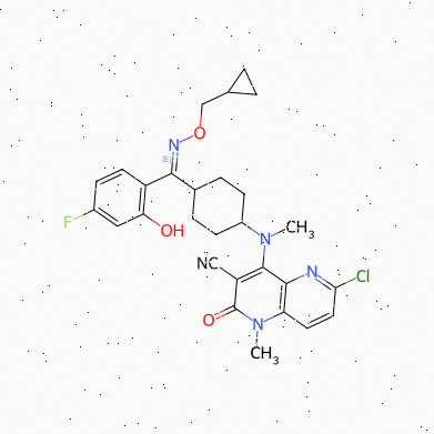 CN(c1c(C#N)c(=O)n(C)c2ccc(Cl)nc12)C1CCC(/C(=N\OCC2CC2)c2ccc(F)cc2O)CC1